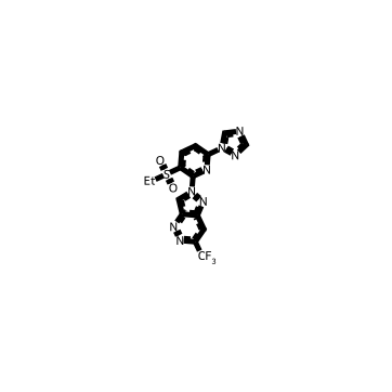 CCS(=O)(=O)c1ccc(-n2cncn2)nc1-n1cc2nnc(C(F)(F)F)cc2n1